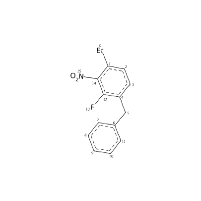 CCc1c[c]c(Cc2ccccc2)c(F)c1[N+](=O)[O-]